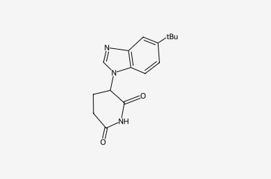 CC(C)(C)c1ccc2c(c1)ncn2C1CCC(=O)NC1=O